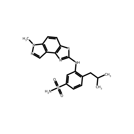 CC(C)Cc1ccc(S(N)(=O)=O)cc1Nc1nc2c(ccc3c2cnn3C)s1